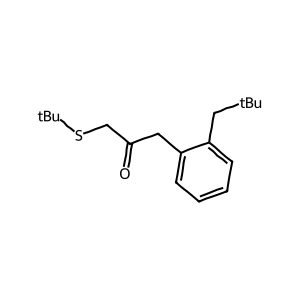 CC(C)(C)Cc1ccccc1CC(=O)CSC(C)(C)C